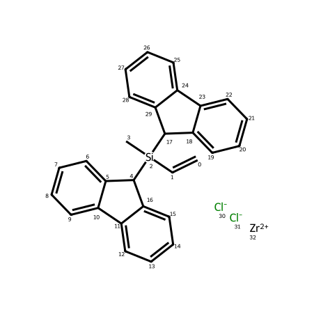 C=C[Si](C)(C1c2ccccc2-c2ccccc21)C1c2ccccc2-c2ccccc21.[Cl-].[Cl-].[Zr+2]